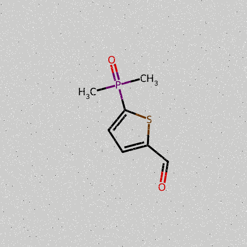 CP(C)(=O)c1ccc(C=O)s1